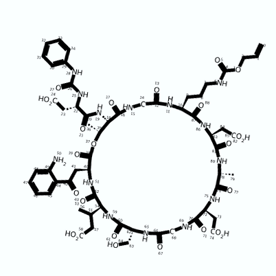 C=CCOC(=O)NCCC[C@@H]1NC(=O)CNC(=O)[C@@H](NC(=O)[C@H](CC(=O)O)NC(=O)Nc2ccccc2)[C@@H](C)OC(=O)[C@H](CC(=O)c2ccccc2N)NC(=O)[C@H](C(C)CC(=O)O)NC(=O)[C@@H](CO)NC(=O)CNC(=O)[C@H](CC(=O)O)NC(=O)[C@@H](C)NC(=O)[C@H](CC(=O)O)NC1=O